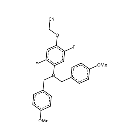 COc1ccc(CN(Cc2ccc(OC)cc2)c2cc(F)c(OCC#N)cc2F)cc1